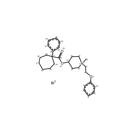 C[N+]1(CCOc2ccccc2)CCC(OC(=O)C2(c3ccccc3)CCCCCC2)CC1.[Br-]